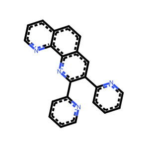 c1ccc(-c2cc3ccc4cccnc4c3nc2-c2ccccn2)nc1